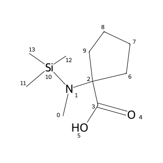 CN(C1(C(=O)O)CCCC1)[Si](C)(C)C